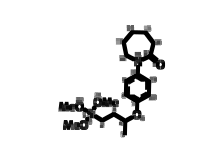 CO[Si](CCC(C)Oc1ccc(N2CCCCCC2=O)cc1)(OC)OC